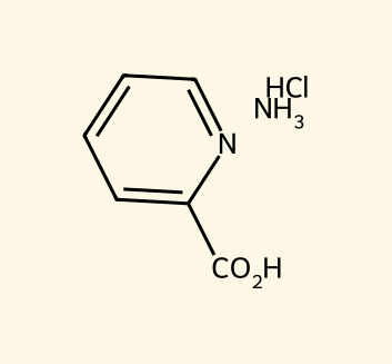 Cl.N.O=C(O)c1ccccn1